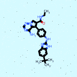 CCNC(=O)c1cn2ncnc(N)c2c1-c1ccc(Nc2nc3ccc(C(C)(C)C)cc3[nH]2)cc1